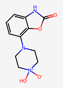 O=c1[nH]c2cccc(N3CC[N+]([O-])(O)CC3)c2o1